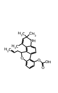 C=CCC1Oc2cccc(OC(=O)O)c2-c2ccc3c(c21)C(C)=CC(C)(C)N3